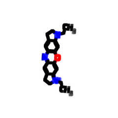 CCN1CCc2cc3c(cc21)Oc1cc2c(cc1=N3)CC[N+]=2CC